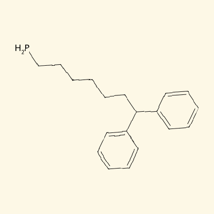 PCCCCCCC(c1ccccc1)c1ccccc1